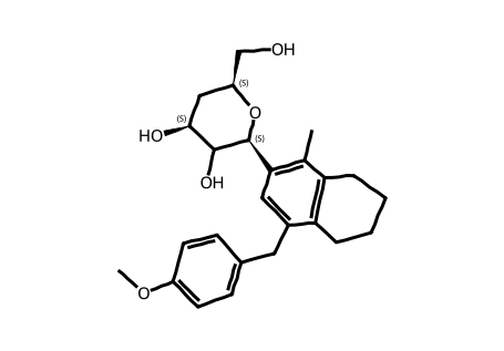 COc1ccc(Cc2cc([C@@H]3O[C@H](CO)C[C@H](O)C3O)c(C)c3c2CCCC3)cc1